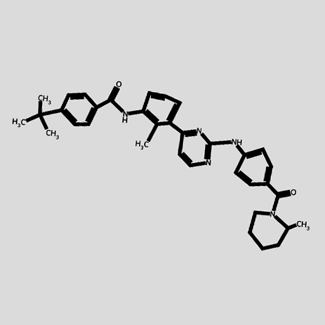 Cc1c(NC(=O)c2ccc(C(C)(C)C)cc2)cccc1-c1ccnc(Nc2ccc(C(=O)N3CCCCC3C)cc2)n1